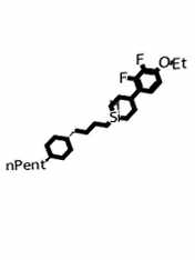 CCCCC[C@H]1CC[C@H](CCCC[SiH]2CCC(c3ccc(OCC)c(F)c3F)CC2)CC1